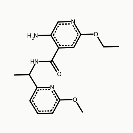 CCOc1cc(C(=O)NC(C)c2cccc(OC)n2)c(N)cn1